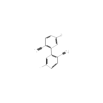 N#Cc1ccc(F)cc1-c1cc(F)ccc1C#N